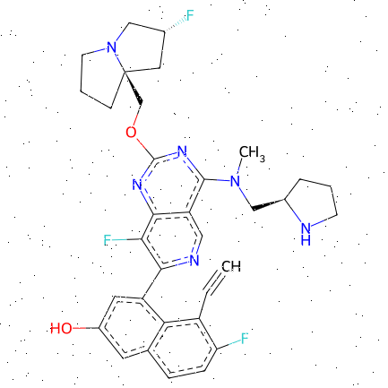 C#Cc1c(F)ccc2cc(O)cc(-c3ncc4c(N(C)C[C@H]5CCCN5)nc(OC[C@@]56CCCN5C[C@H](F)C6)nc4c3F)c12